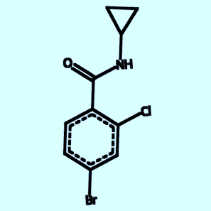 O=C(NC1CC1)c1ccc(Br)cc1Cl